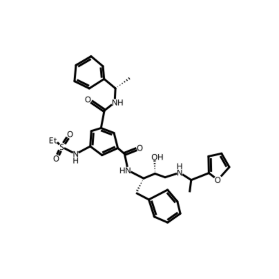 CCS(=O)(=O)Nc1cc(C(=O)N[C@@H](C)c2ccccc2)cc(C(=O)N[C@@H](Cc2ccccc2)[C@H](O)CNC(C)c2ccco2)c1